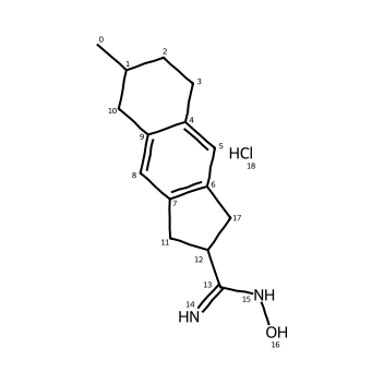 CC1CCc2cc3c(cc2C1)CC(C(=N)NO)C3.Cl